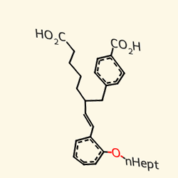 CCCCCCCOc1ccccc1/C=C/C(CCCCC(=O)O)Cc1ccc(C(=O)O)cc1